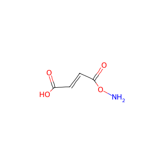 NOC(=O)C=CC(=O)O